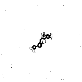 COc1ccc(-c2ccc3c(c2)CC(N)C(c2cc(F)c(F)cc2F)O3)cc1OC